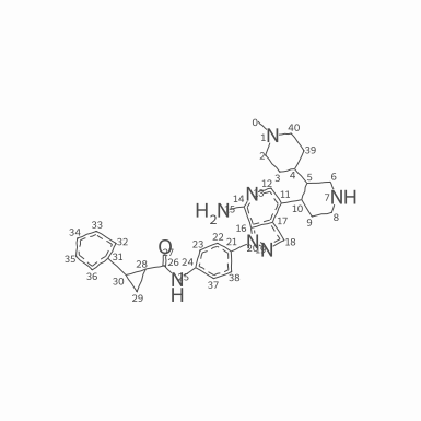 CN1CCC(C2CNCCC2c2cnc(N)c3c2cnn3-c2ccc(NC(=O)C3CC3c3ccccc3)cc2)CC1